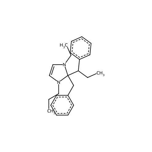 CCCN1C=CN(CC)C1(Cc1ccccc1)C(CC)c1ccccc1